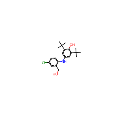 CC(C)(C)c1cc(Nc2ccc(Cl)cc2CO)cc(C(C)(C)C)c1O